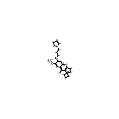 COc1cc2c(Cl)c3c(nc2cc1OCCCN1CCCC1)CCC31CCC1